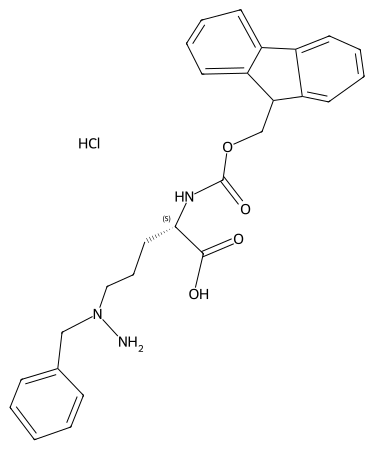 Cl.NN(CCC[C@H](NC(=O)OCC1c2ccccc2-c2ccccc21)C(=O)O)Cc1ccccc1